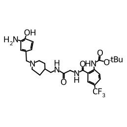 CC(C)(C)OC(=O)Nc1ccc(C(F)(F)F)cc1C(=O)NCC(=O)NCC1CCN(Cc2ccc(O)c(N)c2)CC1